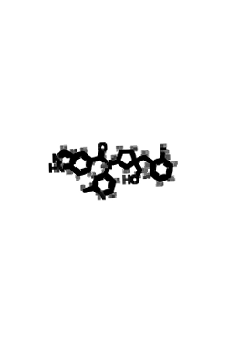 Cc1cc(N(C(=O)c2ccc3[nH]ncc3c2)C2CCC(CO)(Cc3ccccc3F)C2)ccn1